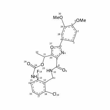 COc1ccc(-c2nc(C(=O)NCc3c(F)cccc3Cl)c(C(C)OC(N)=O)o2)cc1OC